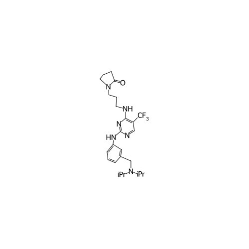 CC(C)N(Cc1cccc(Nc2ncc(C(F)(F)F)c(NCCCN3CCCC3=O)n2)c1)C(C)C